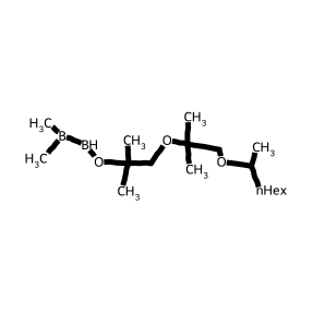 CCCCCCC(C)OCC(C)(C)OCC(C)(C)OBB(C)C